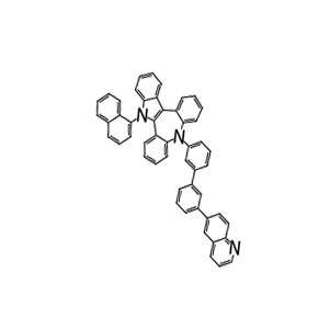 c1cc(-c2cccc(N3c4ccccc4-c4c(n(-c5cccc6ccccc56)c5ccccc45)-c4ccccc43)c2)cc(-c2ccc3ncccc3c2)c1